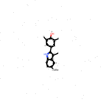 CSc1ccc2[nH]c(-c3cc(C)c(O)c(C)c3)c(C)c2c1